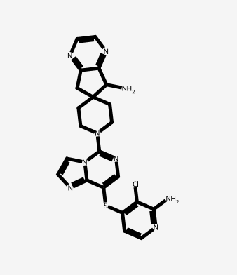 Nc1nccc(Sc2cnc(N3CCC4(CC3)Cc3nccnc3C4N)n3ccnc23)c1Cl